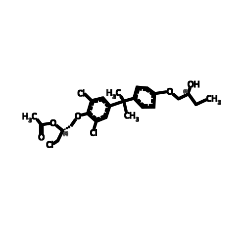 CC[C@H](O)COc1ccc(C(C)(C)c2cc(Cl)c(OC[C@H](CCl)OC(C)=O)c(Cl)c2)cc1